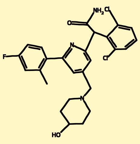 Cc1cc(F)ccc1-c1cc(CN2CCC(O)CC2)cc(C(C(N)=O)c2c(Cl)cccc2Cl)n1